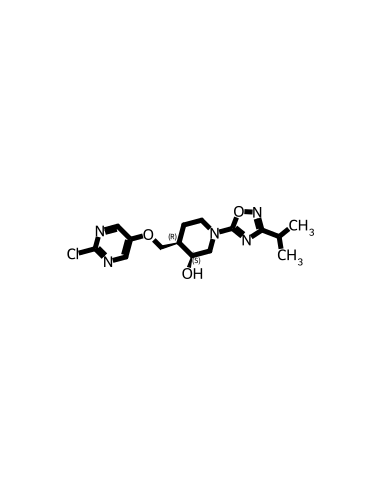 CC(C)c1noc(N2CC[C@H](COc3cnc(Cl)nc3)[C@H](O)C2)n1